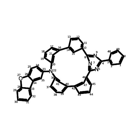 c1ccc(-c2nc3nc(n2)-c2cccc(c2)-c2cccc(c2)N(c2ccc4oc5ccccc5c4c2)c2cccc(c2)-c2cccc-3c2)cc1